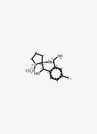 CC(C)(C)[C@]1(C(O)c2ccc(F)cc2CO)CCCN1C(=O)O